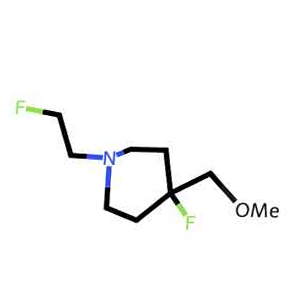 COCC1(F)CCN(CCF)CC1